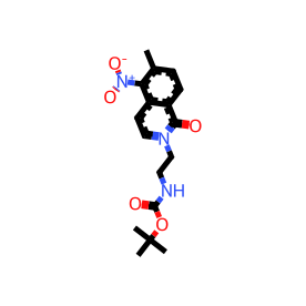 Cc1ccc2c(=O)n(CCNC(=O)OC(C)(C)C)ccc2c1[N+](=O)[O-]